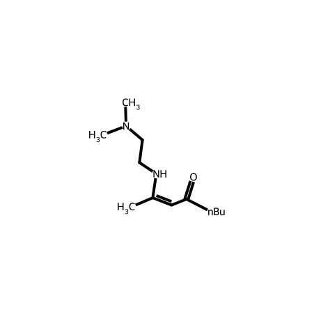 CCCCC(=O)/C=C(/C)NCCN(C)C